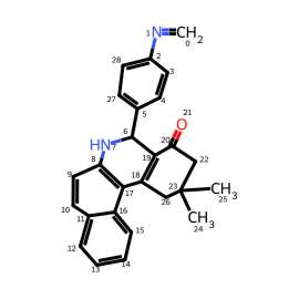 C=Nc1ccc(C2Nc3ccc4ccccc4c3C3=C2C(=O)CC(C)(C)C3)cc1